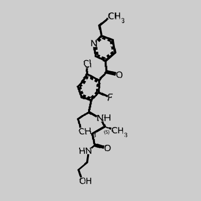 CCc1ccc(C(=O)c2c(Cl)ccc(C(CC)N[C@@H](C)CC(=O)NCCO)c2F)cn1